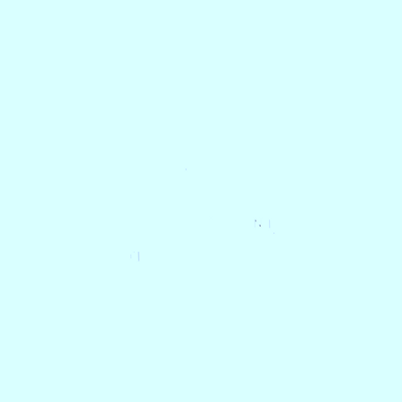 N[CH]c1ccc(Cl)cc1Cl